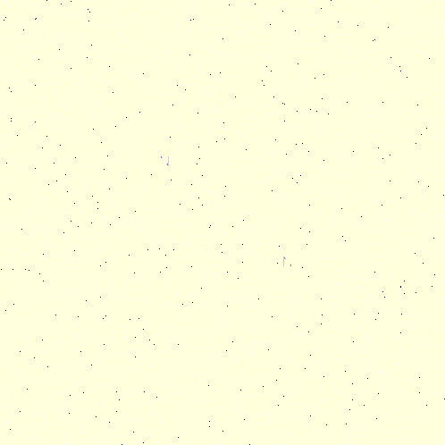 C1=C(c2ccccc2)CCC(N(c2ccc(-c3ccccc3)cc2)c2ccc(C3(c4ccccc4)c4ccccc4-c4c(N(c5ccc(-c6ccccc6)cc5)c5ccc(-c6ccccc6)cc5)cccc43)cc2)=C1